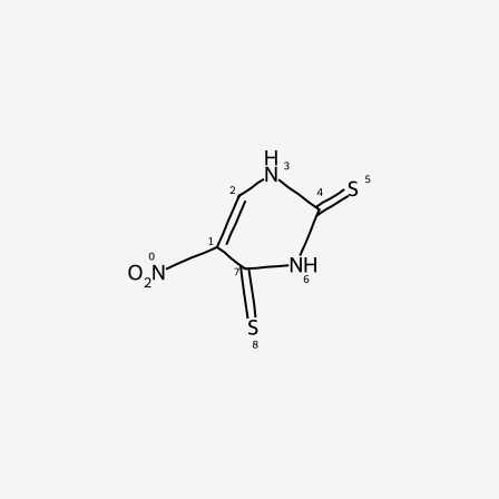 O=[N+]([O-])c1c[nH]c(=S)[nH]c1=S